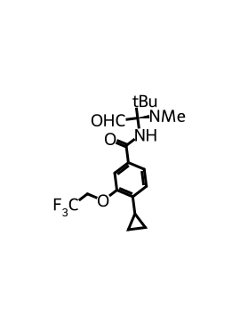 CN[C@](C=O)(NC(=O)c1ccc(C2CC2)c(OCC(F)(F)F)c1)C(C)(C)C